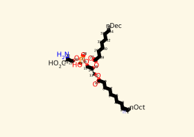 CCCCCCCC/C=C\CCCCCCCC(=O)OC[C@H](COP(=O)(O)OC[C@H](N)C(=O)O)OC(=O)CCCCCCCCCCCCCCCCC